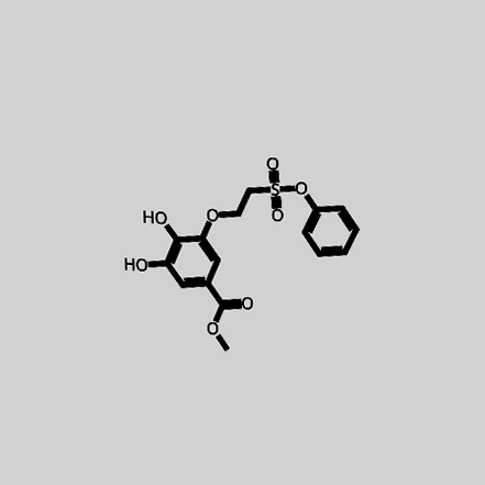 COC(=O)c1cc(O)c(O)c(OCCS(=O)(=O)Oc2ccccc2)c1